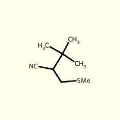 CSCC(C#N)C(C)(C)C